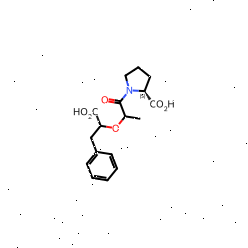 CC(OC(Cc1ccccc1)C(=O)O)C(=O)N1CCC[C@H]1C(=O)O